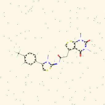 Cn1c(-c2ccc(C(F)(F)F)c(F)c2)csc1=NC(=O)Cc1csc2c1c(=O)n(C)c(=O)n2C